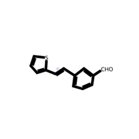 O=Cc1cccc(/C=C/c2cccs2)c1